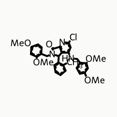 COc1ccc(CNc2cc(Cl)nc3c2C(c2ccccc2C)N(Cc2ccc(OC)cc2OC)C3=O)c(OC)c1